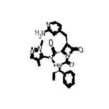 CC[C@@H](NC(=O)N1C(=O)[C@H](Cc2ccnc(N)c2)[C@H]1C(=O)N(C)c1c(C)cnn1C)c1ccccc1